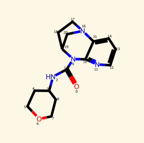 O=C(NC1CCOCC1)N1c2ncccc2N2CCC1C2